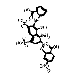 Nc1c(N=Nc2cc([N+](=O)[O-])ccc2C(=O)O)cc(S(=O)(=O)O)c2cc(S(=O)(=O)O)c(N=Nc3ccccc3C(=O)O)c(O)c12